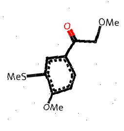 COCC(=O)c1ccc(OC)c(SC)c1